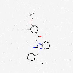 Br.CC(C)(C)COc1ccc(C(=O)Cn2c(=N)n(Cc3ccccc3)c3ccccc32)cc1C(C)(C)C